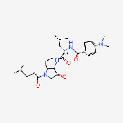 CC(C)CCC(=O)N1CC(=O)C2C1CCN2C(=O)[C@H](CC(C)C)NC(=O)c1ccc(N(C)C)cc1